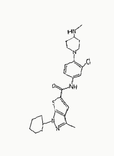 CNC1CCN(c2ccc(NC(=O)c3cc4c(C)nn(C5CCCCC5)c4s3)cc2Cl)CC1